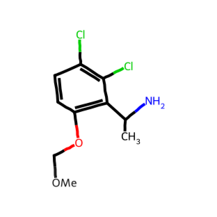 COCOc1ccc(Cl)c(Cl)c1C(C)N